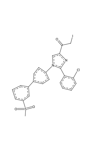 CS(=O)(=O)c1cccc(-c2ccc(-n3cc(C(=O)CI)nc3-c3ccccc3Cl)cc2)c1